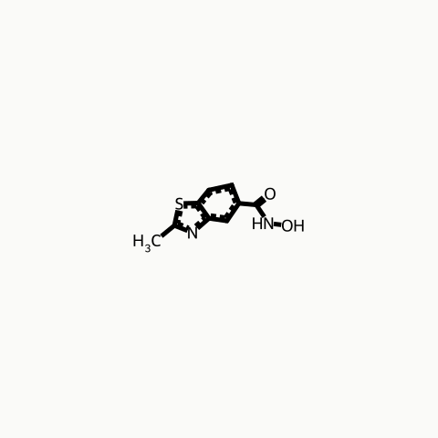 Cc1nc2cc(C(=O)NO)ccc2s1